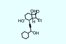 CCC1C(=O)[C@@]2(O)CC[C@@H](O)[C@H](C#C[C@@H](O)C3CCCCC3)[C@@H]12